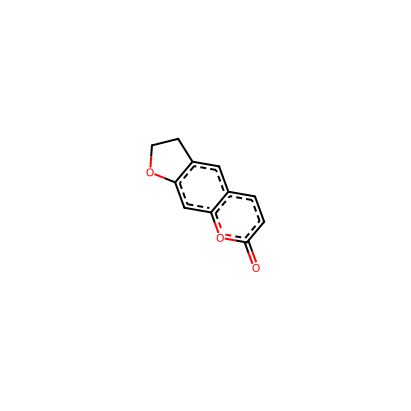 O=c1ccc2cc3c(cc2o1)OCC3